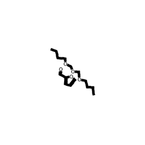 CCCCOCOCOCCCC.O=Cc1ccco1